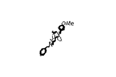 COc1ccc(CN2CC(C)OC(Cc3cn(CCC4CCCCC4)cn3)C2=O)cc1